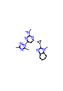 Cc1nc(C)n(-c2cc([C@@H]3C[C@H]3c3nc4ccccc4n3C)nc(N(C)C)n2)n1